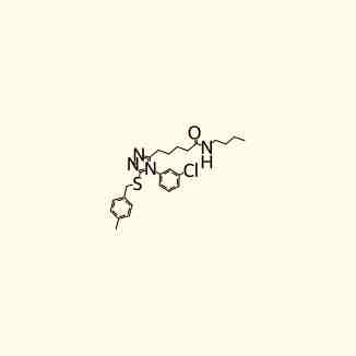 CCCCNC(=O)CCCCc1nnc(SCc2ccc(C)cc2)n1-c1cccc(Cl)c1